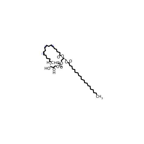 CCCCC/C=C\C/C=C\C/C=C\CCCCC(=O)O[C@H](COC(=O)CCCCCCCCCCCCCCCCCCC)COP(=O)(O)OC[C@@H](O)CO